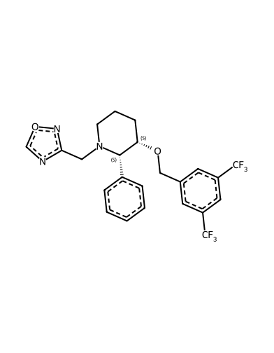 FC(F)(F)c1cc(CO[C@H]2CCCN(Cc3ncon3)[C@H]2c2ccccc2)cc(C(F)(F)F)c1